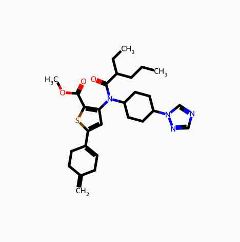 C=C1CC=C(c2cc(N(C(=O)C(CC)CCC)C3CCC(n4cncn4)CC3)c(C(=O)OC)s2)CC1